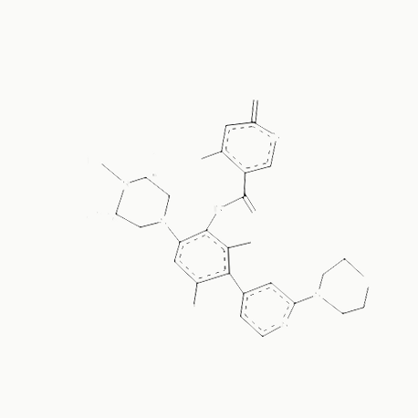 C[C@@H]1CN(c2cc(F)c(-c3ccnc(N4CCOCC4)c3)c(F)c2NC(=O)c2c[nH]c(=O)cc2C(F)(F)F)C[C@H](C)N1C